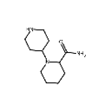 NC(=O)C1CCCCN1C1CCNCC1